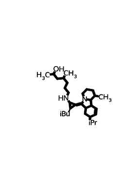 CCC(C)[C@@H]1/C(=C2\C3CC(C(C)C)C=CC3C3C(C)CCCN23)C1NCCCC(C)CC(C)O